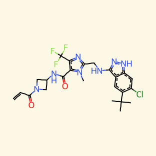 C=CC(=O)N1CC(NC(=O)c2c(C(F)(F)F)nc(CNc3n[nH]c4cc(Cl)c(C(C)(C)C)cc34)n2C)C1